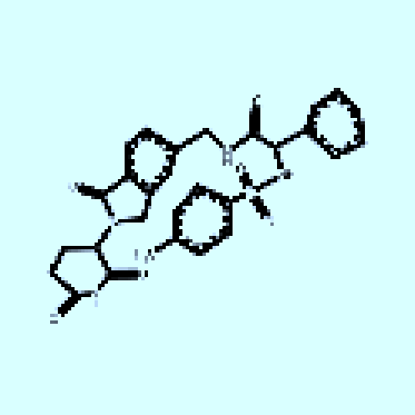 Cc1ccc(S(=O)(=O)NC(C(=O)NCc2ccc3c(c2)CN(C2CCC(=O)NC2=O)C3=O)c2ccccc2)cc1